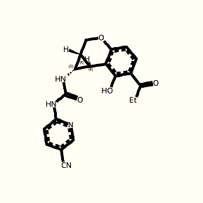 CCC(=O)c1ccc2c(c1O)[C@H]1[C@@H](CO2)[C@H]1NC(=O)Nc1ccc(C#N)cn1